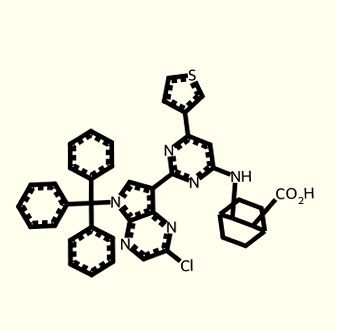 O=C(O)C1C2CCC(CC2)C1Nc1cc(-c2ccsc2)nc(-c2cn(C(c3ccccc3)(c3ccccc3)c3ccccc3)c3ncc(Cl)nc23)n1